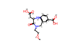 COCCN1Cc2cc(C(=O)O)ccc2NC(CC(=O)O)C1=O